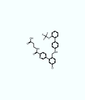 O=C(O)CCNC(=O)c1ccc(-c2cc(Cl)ccc2CNc2ccc(-c3ccccc3OC(F)(F)F)cc2)cn1